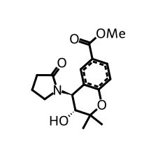 COC(=O)c1ccc2c(c1)[C@H](N1CCCC1=O)[C@@H](O)C(C)(C)O2